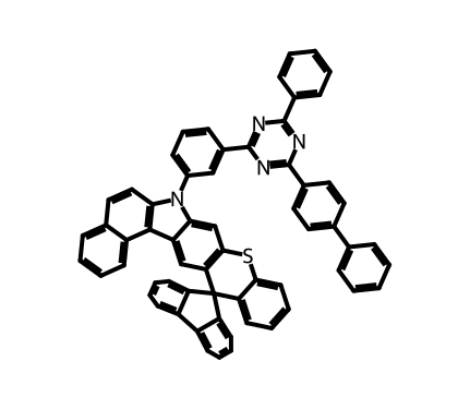 c1ccc(-c2ccc(-c3nc(-c4ccccc4)nc(-c4cccc(-n5c6cc7c(cc6c6c8ccccc8ccc65)C5(c6ccccc6S7)c6ccccc6-c6ccccc65)c4)n3)cc2)cc1